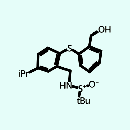 CC(C)c1ccc(Sc2ccccc2CO)c(CN[S+]([O-])C(C)(C)C)c1